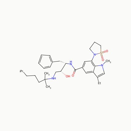 CCc1cn(C)c2c(N3CCCS3(=O)=O)cc(C(=O)N[C@@H](Cc3ccccc3)[C@H](O)CNC(C)(C)CCCC(C)C)cc12